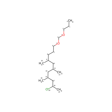 CCCOCOCCCC(C)CC(C)CC(C)CC(C)Cl